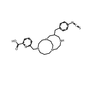 O=C(O)c1cccc(CN2CCCN3CCNCC(Cc4ccc(N=C=S)cc4)CN(CC3)CC2)n1